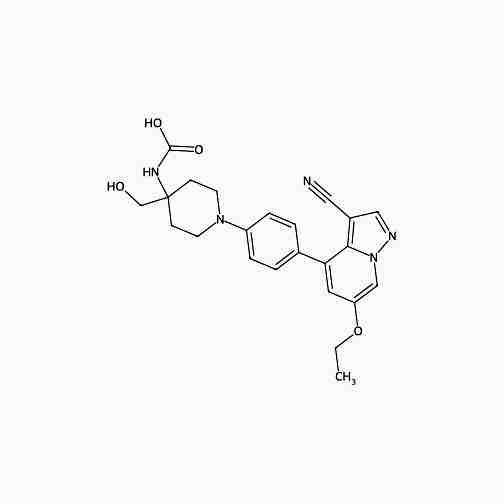 CCOc1cc(-c2ccc(N3CCC(CO)(NC(=O)O)CC3)cc2)c2c(C#N)cnn2c1